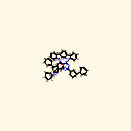 c1ccc(-c2cccc(-c3nc(-c4cccc(-c5ccccc5)c4)nc(-n4c5ccccc5c5ccc6c7ccccc7n(-c7cccc(-c8nc9ccccc9s8)c7)c6c54)n3)c2)cc1